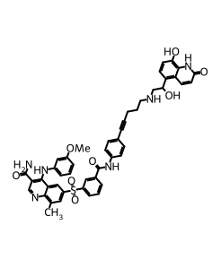 COc1cccc(Nc2c(C(N)=O)cnc3c(C)cc(S(=O)(=O)c4cccc(C(=O)Nc5ccc(C#CCCCNCC(O)c6ccc(O)c7[nH]c(=O)ccc67)cc5)c4)cc23)c1